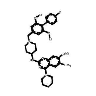 CCOc1cc(CN2CCC(Nc3nc(N4CCCCC4)c4cc(OC)c(OC)cc4n3)CC2)cc(OCC)c1-c1ccc(F)cc1